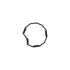 [C]1=C/C=C\CCC/C=C\C\C=C/1